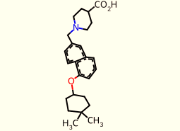 CC1(C)CCC(Oc2cccc3cc(CN4CCC(C(=O)O)CC4)ccc23)CC1